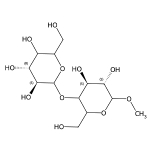 COC1OC(CO)C(OC2OC(CO)C(O)[C@@H](O)[C@@H]2O)[C@@H](O)[C@@H]1O